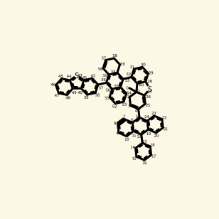 CC12CC=C(c3c4c#cccc4c(-c4ccccc4)c4ccccc34)C=C1Sc1cccc(-c3c4c(c(-c5ccc6c(c5)sc5ccccc56)c5ccccc35)C=CCC4)c12